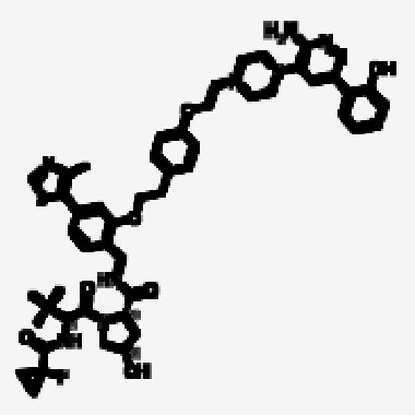 Cc1ncsc1-c1ccc(CNC(=O)[C@@H]2C[C@@H](O)CN2C(=O)[C@@H](NC(=O)C2(F)CC2)C(C)(C)C)c(OCCc2ccc(OCCN3CCN(c4cc(-c5ccccc5O)nnc4N)CC3)cc2)c1